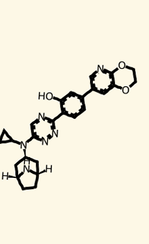 Oc1cc(-c2cnc3c(c2)OCCO3)ccc1-c1ncc(N(C2CC2)[C@@H]2C[C@H]3CC[C@@H](C2)N3)nn1